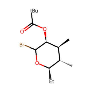 CC[C@H]1OC(Br)[C@@H](OC(=O)C(C)(C)C)[C@@H](C)[C@@H]1C